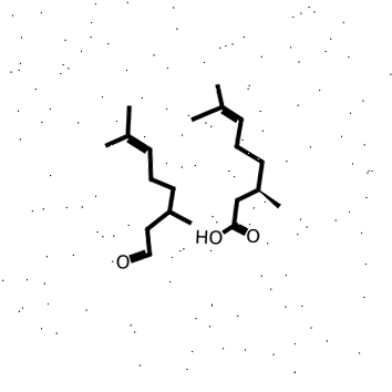 CC(C)=CCCC(C)CC=O.CC(C)=CCC[C@@H](C)CC(=O)O